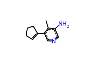 Cc1c(N)cncc1C1=CCCC1